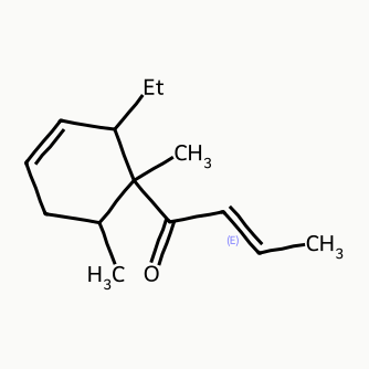 C/C=C/C(=O)C1(C)C(C)CC=CC1CC